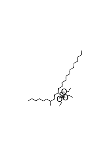 CCCCCCCCCCCCCC(CCC(C)CCCCCC)[Si](OCC)(OCC)OCC